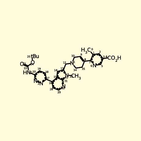 Cc1cc(C(=O)O)cnc1C1=CCN(Cc2cc3c(-c4ccc(NC(=O)OC(C)(C)C)nn4)ccnc3n2C)CC1